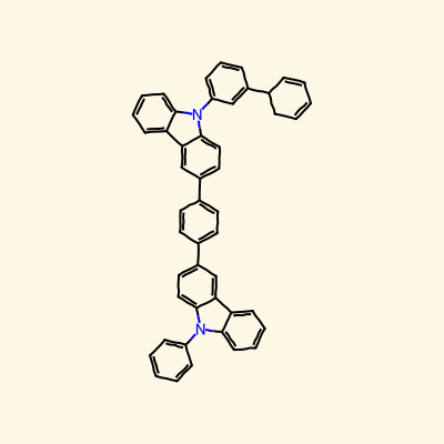 C1=CCC(c2cccc(-n3c4ccccc4c4cc(-c5ccc(-c6ccc7c(c6)c6ccccc6n7-c6ccccc6)cc5)ccc43)c2)C=C1